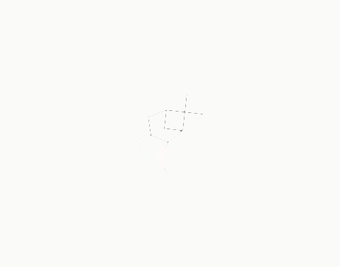 CO[C@@]1(C)C(C)C[C@@H]2C[C@H]1C2(C)C